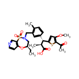 CC[C@@H]1CN(Cc2cc([C@H](c3cc(OC)c(C(C)=O)s3)[C@H](C)C(=O)O)ccc2C)S(=O)(=O)c2cnccc2O1